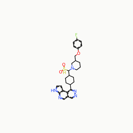 O=[SH](=O)C(C1CCC(c2nncc3cnc4[nH]ccc4c23)CC1)N1CCCC(COc2ccc(F)cc2)C1